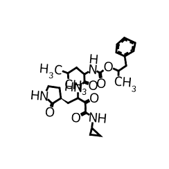 CC(C)CC(NC(=O)OC(C)Cc1ccccc1)C(=O)NC(C[C@@H]1CCNC1=O)C(=O)C(=O)NC1CC1